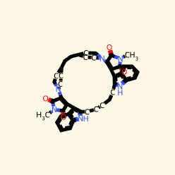 CN1C(=O)C2=C(C1=O)N1CCC(CCC3CCN(CC3)C3=C(C(=O)N(C)C3=O)c3c([nH]c4ccccc34)CCCCCc3[nH]c4ccccc4c32)CC1